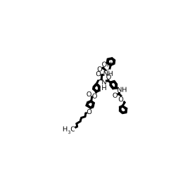 CCCCCCCOc1ccc(C(=O)Oc2ccc(C[C@H](NC(=O)c3ccc(NC(=O)COCc4ccccc4)cc3)C(=O)N[C@@H](Cc3ccccc3)C(=O)O)cc2)cc1